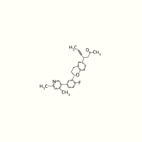 CC#CC(CC(C)=O)c1ccc2c(c1)CCC(c1cc(-c3cnc(C)cc3C)ccc1F)O2